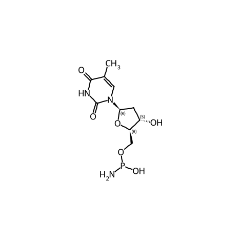 Cc1cn([C@H]2C[C@H](O)[C@@H](COP(N)O)O2)c(=O)[nH]c1=O